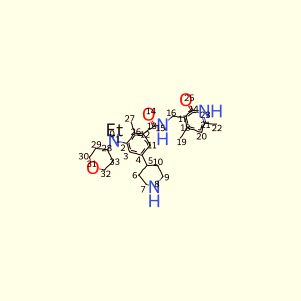 CCN(c1cc(C2CCNCC2)cc(C(=O)NCc2c(C)cc(C)[nH]c2=O)c1C)C1CCOCC1